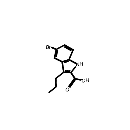 CCCc1c(C(=O)O)[nH]c2ccc(Br)cc12